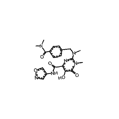 CN(C)C(=O)c1ccc(CN(C)c2nc(C(=O)Nc3cnoc3)c(O)c(=O)n2C)cc1